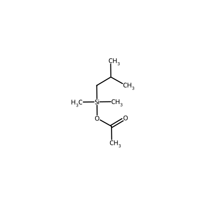 CC(=O)O[Si](C)(C)CC(C)C